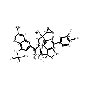 Cc1cnc2c(OC(F)(F)F)cc(C(=O)NCC(O)(c3cc4c(c(-c5ccc(F)c(Cl)c5)n3)OC[C@]4(C)C(N)=O)C3CC3)cc2c1